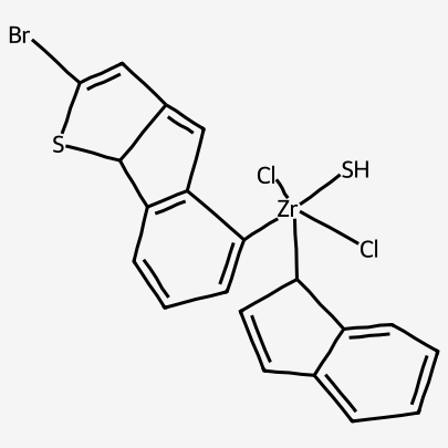 [SH][Zr]([Cl])([Cl])([c]1cccc2c1C=C1C=C(Br)SC12)[CH]1C=Cc2ccccc21